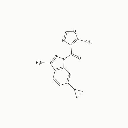 Cc1ocnc1C(=O)n1nc(N)c2ccc(C3CC3)nc21